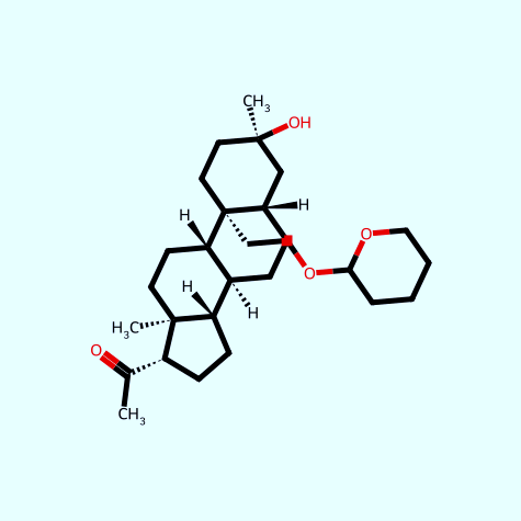 CC(=O)[C@H]1CC[C@H]2[C@@H]3CC[C@H]4C[C@](C)(O)CC[C@]4(CCOC4CCCCO4)[C@H]3CC[C@]12C